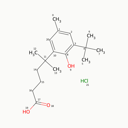 Cc1cc(C(C)(C)C)c(O)c(C(C)(C)CCCC(=O)O)c1.Cl